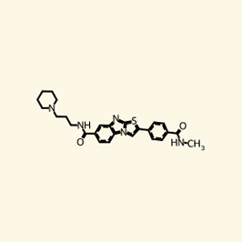 CNC(=O)c1ccc(-c2cn3c(nc4cc(C(=O)NCCCN5CCCCC5)ccc43)s2)cc1